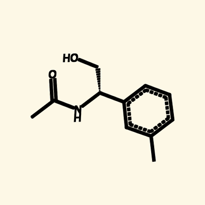 CC(=O)N[C@H](CO)c1cccc(C)c1